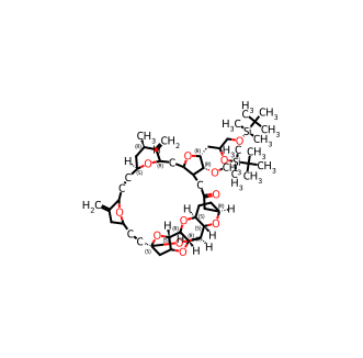 C=C1CC2CC[C@@]34CC5O[C@H]6[C@@H](O3)[C@H]3O[C@H](CC[C@@H]3O[C@H]6[C@H]5O4)CC(=O)CC3C(C[C@H]4O[C@@H](CCC1O2)C[C@@H](C)C4=C)O[C@H](CC(CO[Si](C)(C)C(C)(C)C)O[Si](C)(C)C(C)(C)C)[C@@H]3OC